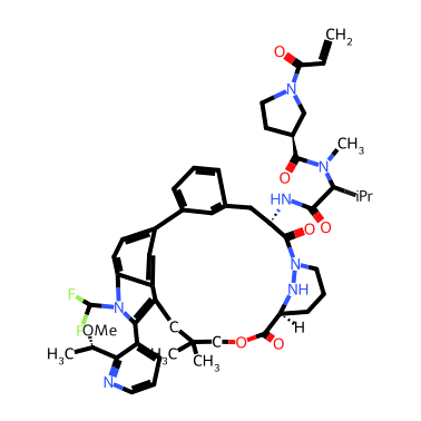 C=CC(=O)N1CC[C@H](C(=O)N(C)C(C(=O)N[C@H]2Cc3cccc(c3)-c3ccc4c(c3)c(c(-c3cccnc3[C@H](C)OC)n4C(F)F)CC(C)(C)COC(=O)[C@@H]3CCCN(N3)C2=O)C(C)C)C1